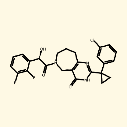 O=C([C@H](O)c1cccc(F)c1F)N1CCCc2nc(C3(c4cccc(Cl)c4)CC3)[nH]c(=O)c2C1